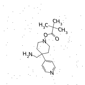 CC(C)(C)C(=O)ON1CCC(CN)(c2ccncc2)CC1